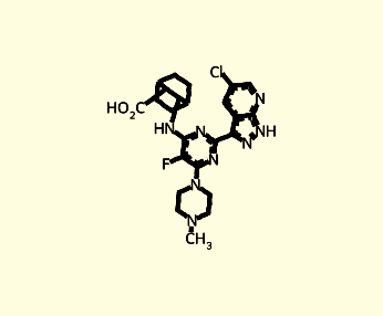 CN1CCN(c2nc(-c3n[nH]c4ncc(Cl)cc34)nc(NC3C4CCC(CC4)C3C(=O)O)c2F)CC1